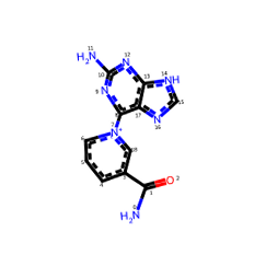 NC(=O)c1ccc[n+](-c2nc(N)nc3[nH]cnc23)c1